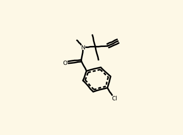 C#CC(C)(C)N(C)C(=O)c1ccc(Cl)cc1